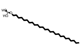 CCCCCCCCCCCCCCCCCCCCCCCCCCOP(O)O